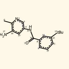 Cc1ncc(NC(=O)c2cccc(C(C)(C)C)c2)cc1N